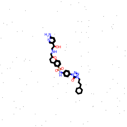 Nc1ccc(C(O)CNCC2CCc3cc(S(=O)(=O)Nc4ccc(-n5nnn(CCCC6CCCCC6)c5=O)cc4)ccc3O2)cn1